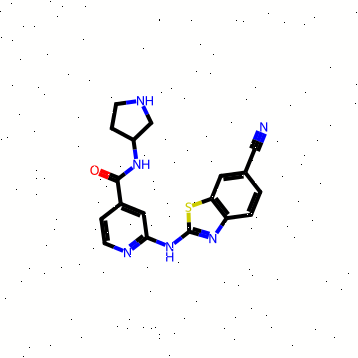 N#Cc1ccc2nc(Nc3cc(C(=O)NC4CCNC4)ccn3)sc2c1